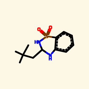 CC(C)(C)CC1Nc2ccccc2S(=O)(=O)N1